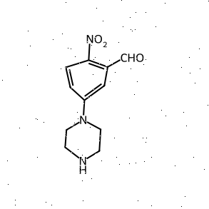 O=Cc1cc(N2CCNCC2)ccc1[N+](=O)[O-]